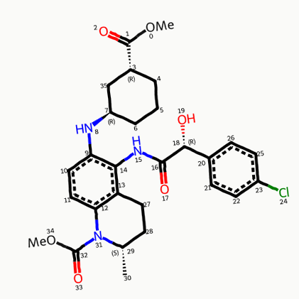 COC(=O)[C@@H]1CCC[C@@H](Nc2ccc3c(c2NC(=O)[C@H](O)c2ccc(Cl)cc2)CC[C@H](C)N3C(=O)OC)C1